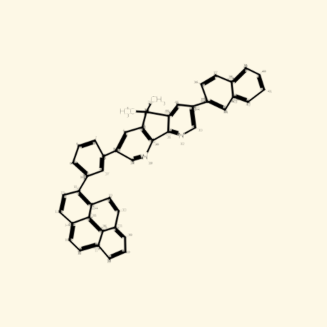 CC1(C)c2cc(-c3cccc(-c4ccc5ccc6cccc7ccc4c5c67)c3)cnc2-c2ncc(-c3ccc4ccccc4c3)cc21